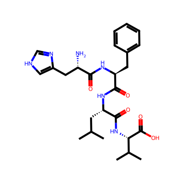 CC(C)C[C@H](NC(=O)[C@H](Cc1ccccc1)NC(=O)[C@@H](N)Cc1c[nH]cn1)C(=O)N[C@H](C(=O)O)C(C)C